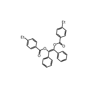 CCc1ccc(C(=O)OC(=C(OC(=O)c2ccc(CC)cc2)c2ccccc2)c2ccccc2)cc1